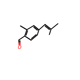 CC(C)=Cc1ccc(C=O)c(C)c1